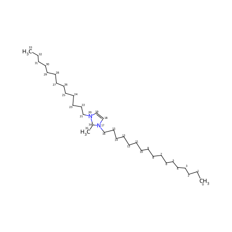 CCCCCCCCCCCCCCCCCN1C=CN(CCCCCCCCCCCCC)C1C